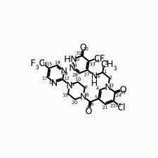 CC(Cn1cc(C(=O)N2CCN(c3ncc(C(F)(F)F)cn3)CC2)cc(Cl)c1=O)Nc1cn[nH]c(=O)c1C(F)(F)F